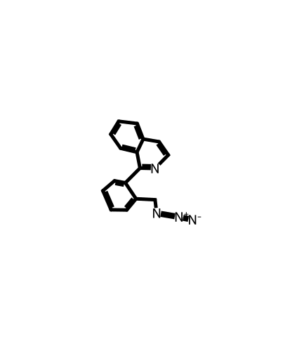 [N-]=[N+]=NCc1ccccc1-c1nccc2ccccc12